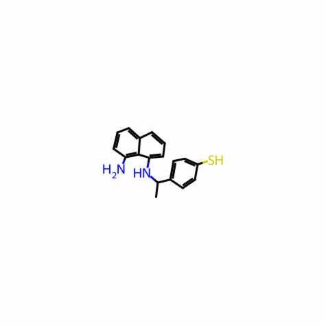 CC(Nc1cccc2cccc(N)c12)c1ccc(S)cc1